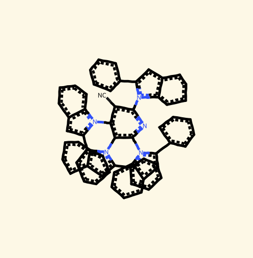 N#Cc1c(-n2c(-c3ccccc3)cc3ccccc32)nc(-n2c(-c3ccccc3)cc3ccccc32)c(-n2c(-c3ccccc3)cc3ccccc32)c1-n1c(-c2ccccc2)cc2ccccc21